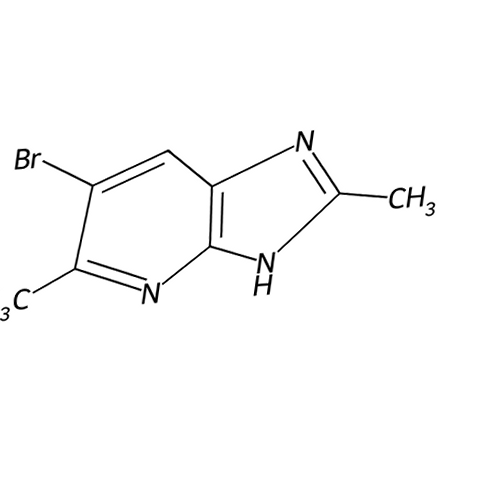 Cc1nc2cc(Br)c(C)nc2[nH]1